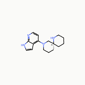 c1cc(N2CCC[C@]3(CCCCN3)C2)c2cc[nH]c2n1